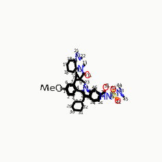 COc1ccc2c(c1)C1CC1(C(=O)N(C)[C@H]1CCCC[C@@H]1N(C)C)Cn1c-2c(C2CCCCC2)c2ccc(C(=O)NS(=O)(=O)N(C)C)cc21